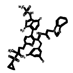 Cn1nc(NS(C)(=O)=O)c2c(Cl)ccc(-c3ccc(CCC(C)(C)S(=O)(=O)C4CC4)nc3[C@H](Cc3cc(F)cc(F)c3)NC(=O)Cn3cnc4ccccc43)c21